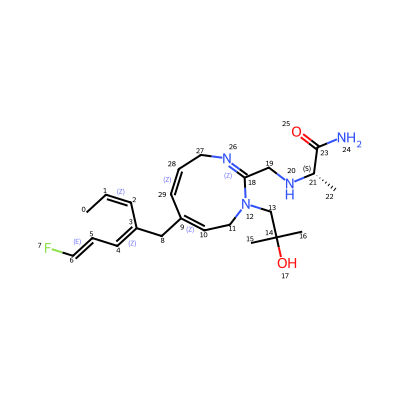 C\C=C/C(=C\C=C\F)CC1=C/CN(CC(C)(C)O)/C(CN[C@@H](C)C(N)=O)=N\C/C=C\1